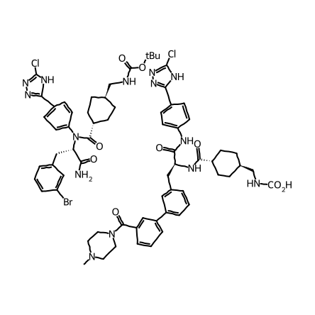 CC(C)(C)OC(=O)NC[C@H]1CC[C@H](C(=O)N(c2ccc(-c3nnc(Cl)[nH]3)cc2)[C@@H](Cc2cccc(Br)c2)C(N)=O)CC1.CN1CCN(C(=O)c2cccc(-c3cccc(C[C@H](NC(=O)[C@H]4CC[C@H](CNC(=O)O)CC4)C(=O)Nc4ccc(-c5nnc(Cl)[nH]5)cc4)c3)c2)CC1